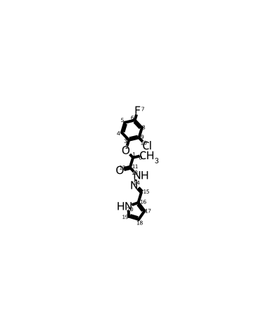 CC(Oc1ccc(F)cc1Cl)C(=O)N/N=C/c1ccc[nH]1